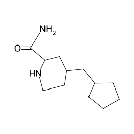 NC(=O)C1CC(CC2CCCC2)CCN1